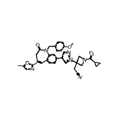 COc1ccc(CN2C(=O)CC(c3ncc(C)o3)=Cc3ccc(-c4cnn(C5(CC#N)CN(C(=O)C6CC6)C5)c4)cc32)cc1